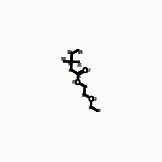 CCOCCOC(=O)CC(C)(C)CC